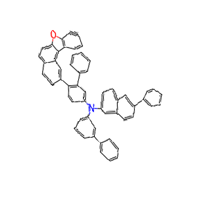 c1ccc2c(c#1)oc1ccc3ccc(-c4ccc(N(c5cccc(-c6ccccc6)c5)c5ccc6cc(-c7ccccc7)ccc6c5)cc4-c4ccccc4)cc3c12